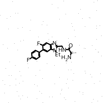 CCn1c(CNC(=O)[C@H](C)N)nc2cc(F)c(-c3ccc(F)cc3)cc21